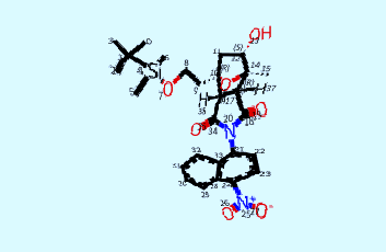 CC(C)(C)[Si](C)(C)OCC[C@]12C[C@H](O)[C@](C)(O1)[C@@H]1C(=O)N(c3ccc([N+](=O)[O-])c4ccccc34)C(=O)[C@@H]12